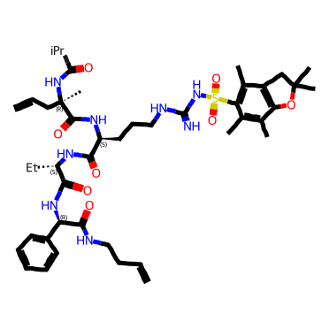 C=CCCNC(=O)[C@H](NC(=O)[C@H](CC)NC(=O)[C@H](CCCNC(=N)NS(=O)(=O)c1c(C)c(C)c2c(c1C)CC(C)(C)O2)NC(=O)[C@@](C)(CC=C)NC(=O)C(C)C)c1ccccc1